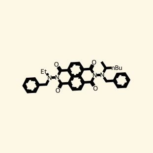 CCCCC(C)N(Cc1ccccc1)N1C(=O)c2ccc3c4c(ccc(c24)C1=O)C(=O)N(N(CC)Cc1ccccc1)C3=O